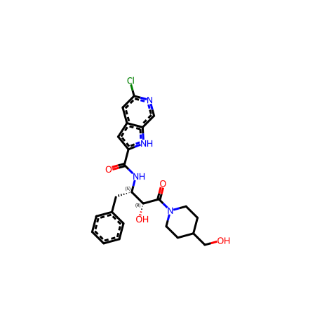 O=C(N[C@@H](Cc1ccccc1)[C@@H](O)C(=O)N1CCC(CO)CC1)c1cc2cc(Cl)ncc2[nH]1